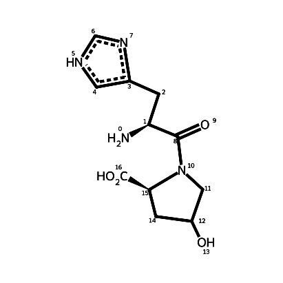 N[C@@H](Cc1c[nH]cn1)C(=O)N1CC(O)C[C@H]1C(=O)O